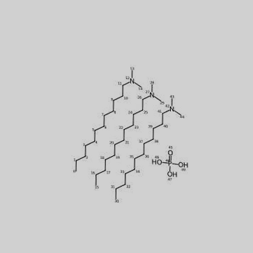 CCCCCCCCCCCCN(C)C.CCCCCCCCCCCCN(C)C.CCCCCCCCCCCCN(C)C.O=P(O)(O)O